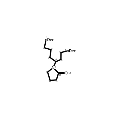 CCCCCCCCCCCCCC(CCCCCCCCCCCC)N1CCCC1=O